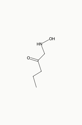 CCCC(=O)CNO